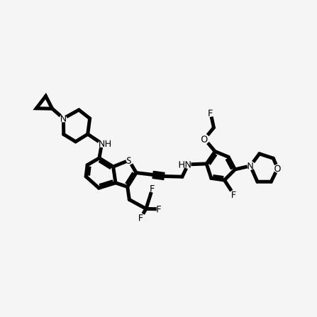 FCOc1cc(N2CCOCC2)c(F)cc1NCC#Cc1sc2c(NC3CCN(C4CC4)CC3)cccc2c1CC(F)(F)F